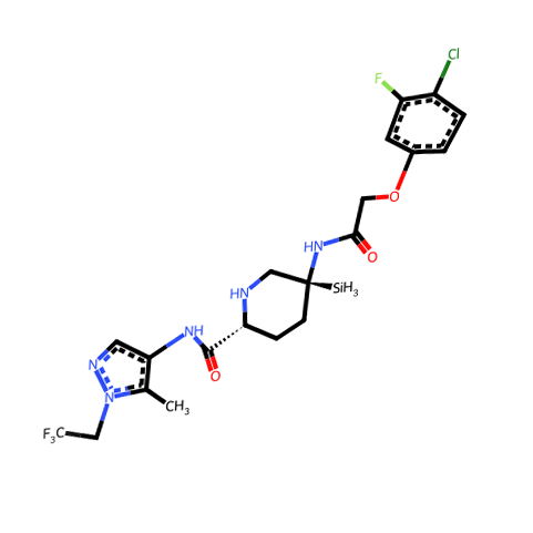 Cc1c(NC(=O)[C@H]2CC[C@@]([SiH3])(NC(=O)COc3ccc(Cl)c(F)c3)CN2)cnn1CC(F)(F)F